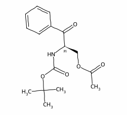 CC(=O)OC[C@@H](NC(=O)OC(C)(C)C)C(=O)c1ccccc1